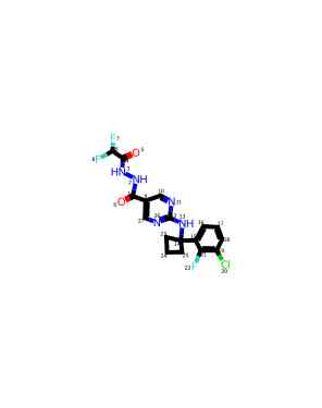 O=C(NNC(=O)C(F)F)c1cnc(NC2(c3cccc(Cl)c3F)CCC2)nc1